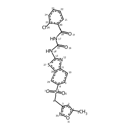 Cc1cc(CS(=O)(=O)c2ccc3nc(NC(=O)NC(=O)c4ccccc4Cl)sc3c2)no1